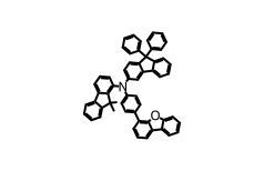 CC1(C)c2ccccc2-c2cccc(N(c3ccc(-c4cccc5c4oc4ccccc45)cc3)c3ccc4c(c3)-c3ccccc3C4(c3ccccc3)c3ccccc3)c21